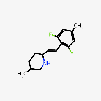 Cc1cc(F)c(/C=C/C2CCC(C)CN2)c(F)c1